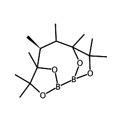 CC1[C@H](C)C2(C)OB(OC2(C)C)B2OC(C)(C)C1(C)O2